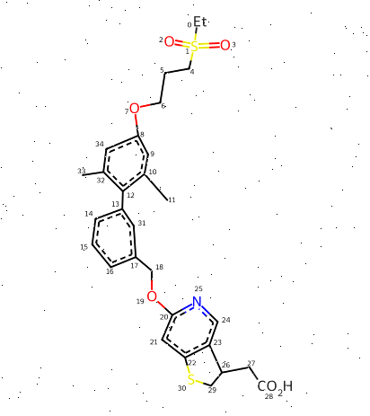 CCS(=O)(=O)CCCOc1cc(C)c(-c2cccc(COc3cc4c(cn3)C(CC(=O)O)CS4)c2)c(C)c1